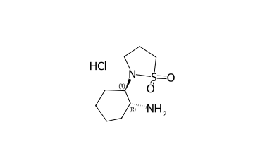 Cl.N[C@@H]1CCCC[C@H]1N1CCCS1(=O)=O